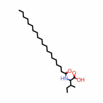 CCCCCCCCCCCCCCCCCCCC(=O)NC(C(=O)O)C(C)CC